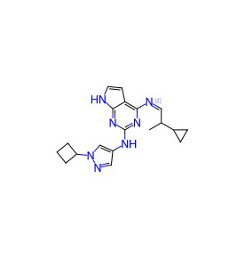 CC(/C=N\c1nc(Nc2cnn(C3CCC3)c2)nc2[nH]ccc12)C1CC1